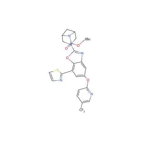 CC(C)(C)OC(=O)N1C2CC1CN(c1nc3cc(Oc4ccc(C(F)(F)F)cn4)cc(-c4nccs4)c3o1)C2